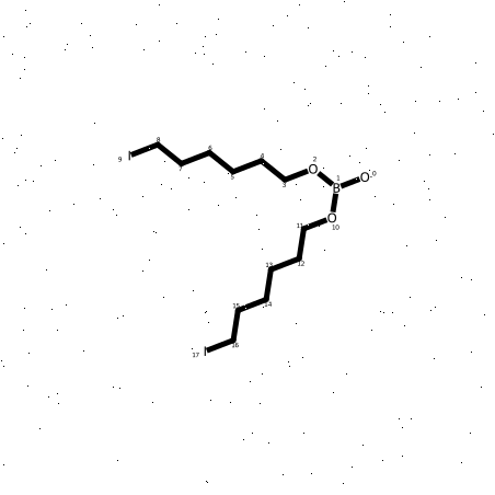 [O]B(OCCCCCCI)OCCCCCCI